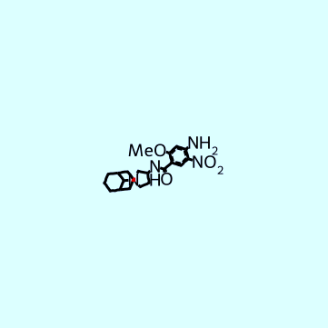 COc1cc(N)c([N+](=O)[O-])cc1C(=O)NC1CCN(C2C3CCCC2CCC3)C1